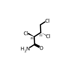 NC(=O)[C@@H](Cl)[C@@H](Cl)CCl